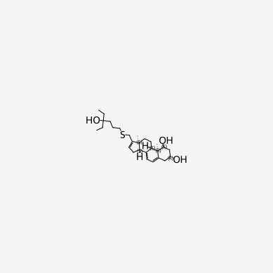 CCC(O)(CC)CCCSCC1=CC[C@H]2C3=CC=C4C[C@@H](O)C[C@H](O)[C@]4(C)[C@H]3CC[C@]12C